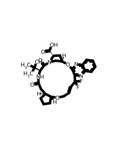 CC(C)(C)[C@@H]1NC(=O)C[C@@H]2CCC[C@H]2OC/C=C/C(F)(F)c2nc3ccccc3nc2O[C@@H]2C[C@@H](C(=O)O)N(C2)C1=O